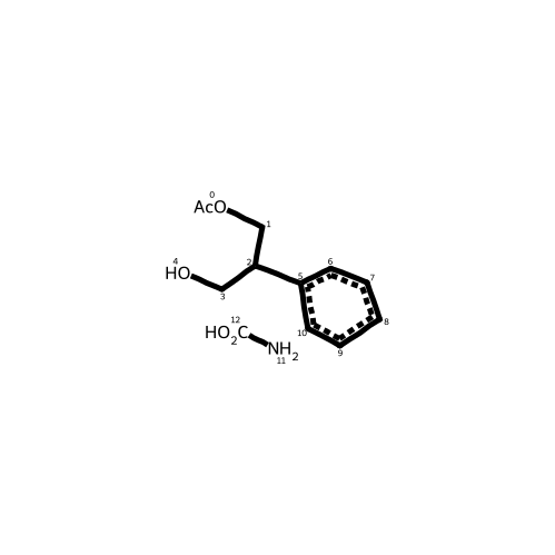 CC(=O)OCC(CO)c1ccccc1.NC(=O)O